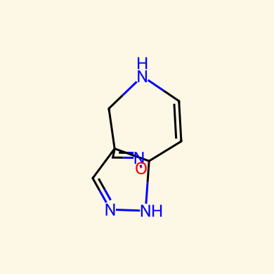 C1=CC23NN=CC2(C=NO3)CN1